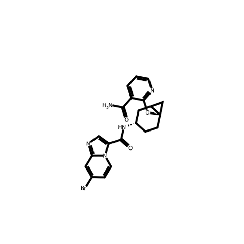 NC(=O)c1cccnc1O[C@@]12CC[C@H](NC(=O)c3cnc4cc(Br)ccn34)CC1C2